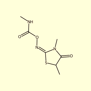 CNC(=O)ON=C1SC(C)C(=O)N1C